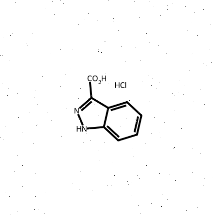 Cl.O=C(O)c1n[nH]c2ccccc12